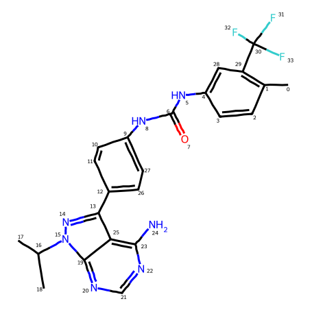 Cc1ccc(NC(=O)Nc2ccc(-c3nn(C(C)C)c4ncnc(N)c34)cc2)cc1C(F)(F)F